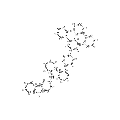 c1ccc(-c2nc(-c3ccc(-c4cccc5c4c4ccccc4n5-c4ccc5oc6ccccc6c5c4)cc3)nc(-c3ccccc3-c3ccccc3)n2)cc1